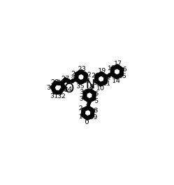 c1ccc(-c2ccc(N(c3ccc(-c4ccccc4)cc3)c3cccc(-c4cc5ccccc5o4)c3)cc2)cc1